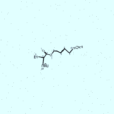 CCCCCCCCCCCCOC(=O)C(CC)CCCC